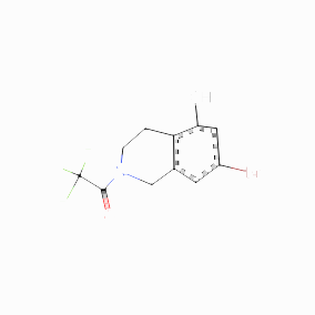 Cc1cc(Br)cc2c1CCN(C(=O)C(F)(F)F)C2